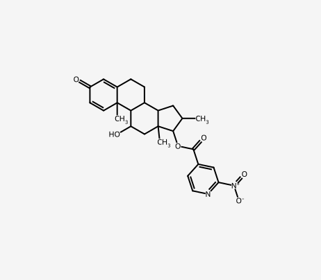 CC1CC2C3CCC4=CC(=O)C=CC4(C)C3C(O)CC2(C)C1OC(=O)c1ccnc([N+](=O)[O-])c1